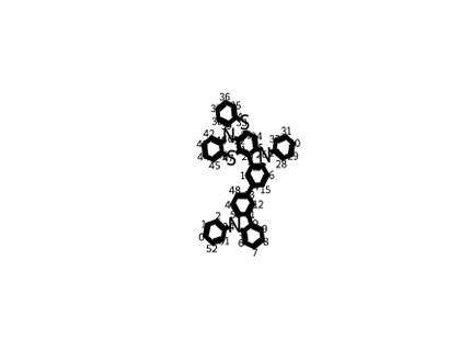 c1ccc(-n2c3ccccc3c3cc(-c4ccc5c(c4)c4c6c7c(cc4n5-c4ccccc4)Sc4ccccc4N7c4ccccc4S6)ccc32)cc1